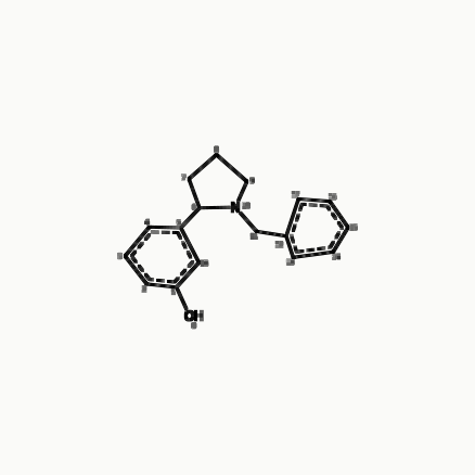 Oc1cccc(C2CCCN2Cc2ccccc2)c1